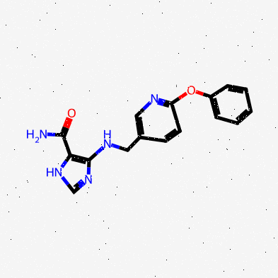 NC(=O)c1[nH]cnc1NCc1ccc(Oc2ccccc2)nc1